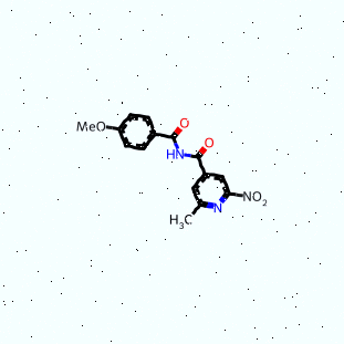 COc1ccc(C(=O)NC(=O)c2cc(C)nc([N+](=O)[O-])c2)cc1